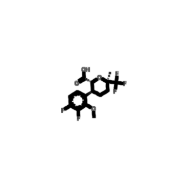 COc1c([C@@H]2CC[C@](C)(C(F)(F)F)O[C@H]2C(=O)O)ccc(F)c1F